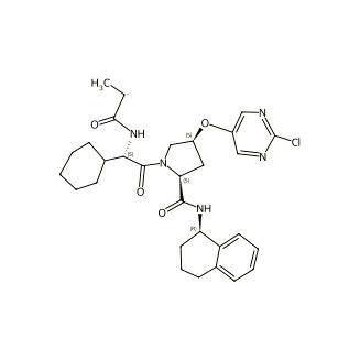 C[CH]C(=O)N[C@H](C(=O)N1C[C@@H](Oc2cnc(Cl)nc2)C[C@H]1C(=O)N[C@@H]1CCCc2ccccc21)C1CCCCC1